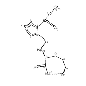 COC(=O)c1cscc1CN[C@H]1CCCCNC1=O